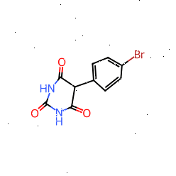 O=C1NC(=O)C(c2ccc(Br)cc2)C(=O)N1